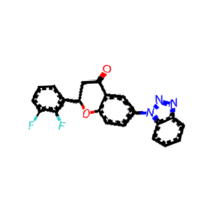 O=C1CC(c2cccc(F)c2F)Oc2ccc(-n3nnc4ccccc43)cc21